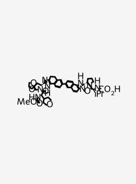 COC(=O)N[C@H](C(=O)N1CC2(C[C@H]1c1nc3c([nH]1)-c1ccc(-c4ccc5c(ccc6nc([C@@H]7CCCN7C(=O)[C@@H](NC(=O)O)C(C)C)[nH]c65)c4)cc1CC3)OCCO2)C1CCOCC1